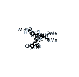 COCCN(CCOC)C(=O)C[C@H](NC(=O)C=Cc1cc(Cl)ccc1-n1cnnn1)c1nc(-c2ccc(NC(=O)OC)cc2)c(Cl)[nH]1